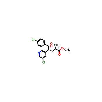 COC(=O)C(C)C[C@H](c1cncc(Cl)c1)[C@@H](O)c1ccc(Cl)cc1